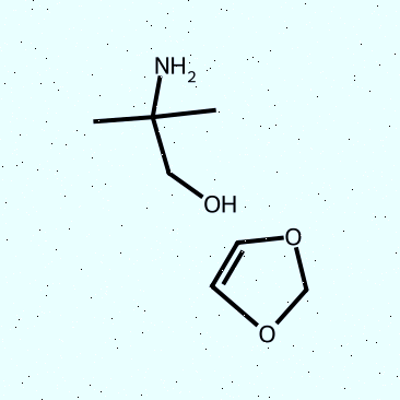 C1=COCO1.CC(C)(N)CO